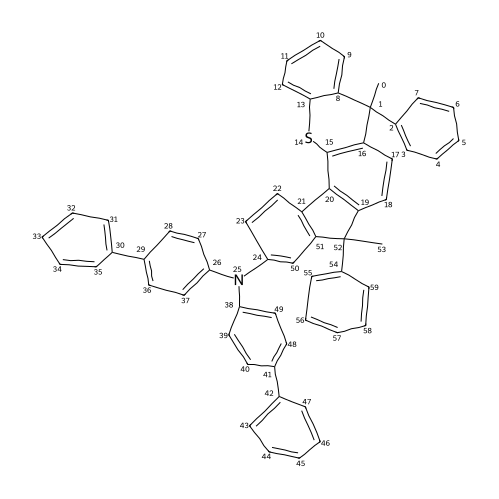 CC1(c2ccccc2)c2ccccc2Sc2c1ccc1c2-c2ccc(N(c3ccc(-c4ccccc4)cc3)c3ccc(-c4ccccc4)cc3)cc2C1(C)c1ccccc1